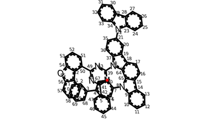 c1ccc(-c2ccc(-n3c4ccccc4c4ccc5c6cc(-n7c8ccccc8c8ccccc87)ccc6n(-c6nc(-c7ccccc7)nc(-c7cccc8oc9ccccc9c78)n6)c5c43)cc2)cc1